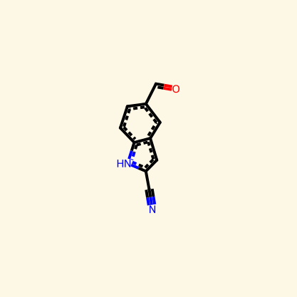 N#Cc1cc2cc(C=O)ccc2[nH]1